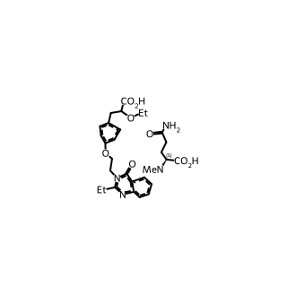 CCOC(Cc1ccc(OCCn2c(CC)nc3ccccc3c2=O)cc1)C(=O)O.CN[C@@H](CCC(N)=O)C(=O)O